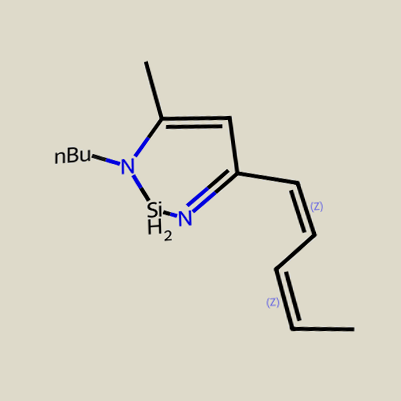 C/C=C\C=C/C1=N[SiH2]N(CCCC)C(C)=C1